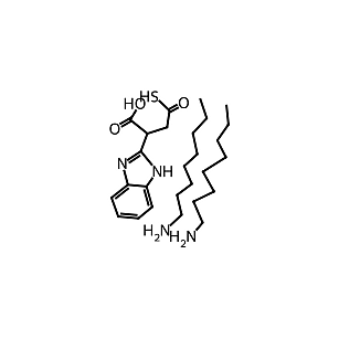 CCCCCCCCN.CCCCCCCCN.O=C(S)CC(C(=O)O)c1nc2ccccc2[nH]1